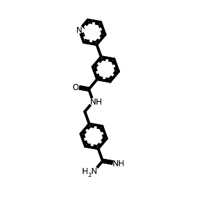 N=C(N)c1ccc(CNC(=O)c2cccc(-c3cccnc3)c2)cc1